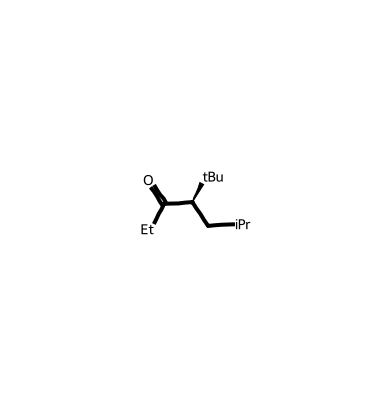 CCC(=O)[C@H](CC(C)C)C(C)(C)C